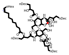 CCCCCC/C=C\CCCCCCCC(=O)OC(CCCCCCCCCCC)CC(=O)NC1[C@H](OCC2OC(OP(=O)(O)O)C(NC(=O)CC(O)CCCCCCCCCCC)[C@@H](OC(=O)CC(O)CCCCCCCCCCC)[C@@H]2O)OC(CO)[C@@H](OP(=O)(O)O)[C@@H]1OC(=O)CC(O)CCCCCCCCCCC